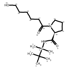 CC(C)(C)[Si](C)(C)NC(=O)[C@@H]1CCCN1C(=O)CCCCCO